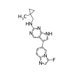 CC1(CNc2ncc3c(-c4ccc5ncc(F)n5c4)c[nH]c3n2)CC1